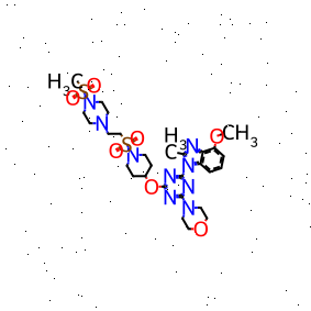 COc1cccc2c1nc(C)n2-c1nc(OC2CCN(S(=O)(=O)CCN3CCN(S(C)(=O)=O)CC3)CC2)nc(N2CCOCC2)n1